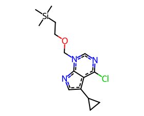 C[Si](C)(C)CCOCn1cnc(Cl)c2c(C3CC3)cnc1-2